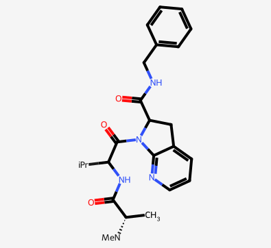 CN[C@@H](C)C(=O)NC(C(=O)N1c2ncccc2CC1C(=O)NCc1ccccc1)C(C)C